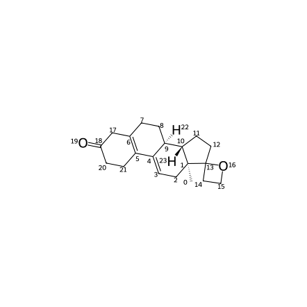 C[C@]12CC=C3C4=C(CC[C@H]3[C@@H]1CCC21CCO1)CC(=O)CC4